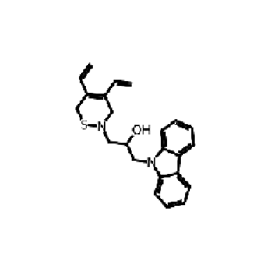 C=CC1=C(C=C)CN(CC(O)Cn2c3ccccc3c3ccccc32)SC1